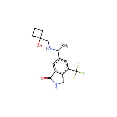 CC(NCC1(O)CCC1)c1cc2c(c(C(F)(F)F)c1)CNC2=O